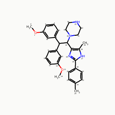 COc1cccc(C(c2cccc(OC)c2)C(c2nc(-c3ccc(C)cc3)[nH]c2C)N2CCNCC2)c1